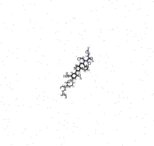 CCN(C)CCN(CC)C1CCCN(c2cc(OC)c(-c3cc4c(cn3)cc(C(=C\Cl)/C(Cl)=C(\C=C\OC)OC)c3nccn34)cc2NC)CC1